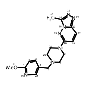 COc1ccc(CN2CCN(c3ccc4nnc(C(F)(F)F)n4n3)CC2)cn1